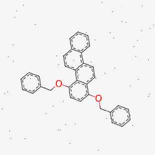 c1ccc(COc2ccc(OCc3ccccc3)c3c2ccc2c4ccccc4ccc23)cc1